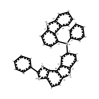 c1ccc(-c2nc3c(ccc4oc5ccc(N(c6ccccc6)c6cccc7oc8ccccc8c67)cc5c43)o2)cc1